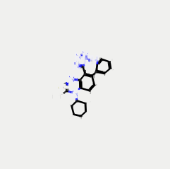 CC(C)CN(c1ccc(-c2ccccc2)c(-c2nnn[nH]2)c1N=C=S)C1CCCCC1